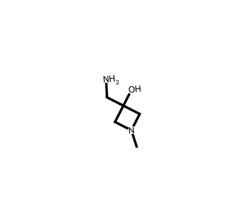 CN1CC(O)(CN)C1